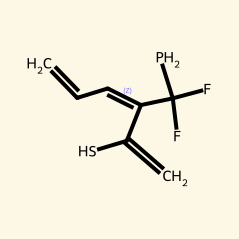 C=C/C=C(\C(=C)S)C(F)(F)P